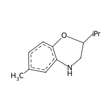 Cc1ccc2c(c1)NCC(C(C)C)O2